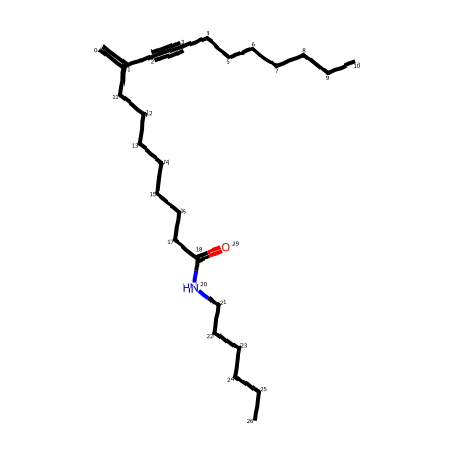 C=C(C#CCCCCCCC)CCCCCCCC(=O)NCCCCCC